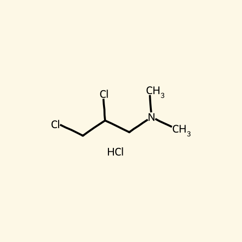 CN(C)CC(Cl)CCl.Cl